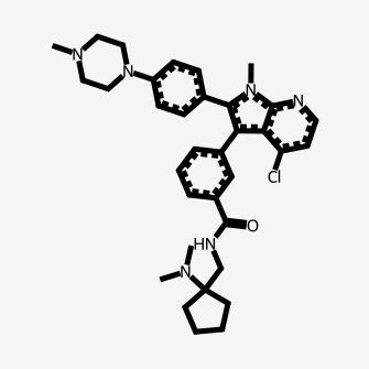 CN1CCN(c2ccc(-c3c(-c4cccc(C(=O)NCC5(N(C)C)CCCC5)c4)c4c(Cl)ccnc4n3C)cc2)CC1